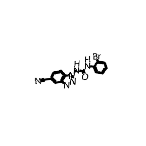 N#Cc1ccc2c(c1)nnn2NC(=O)Nc1ccccc1Br